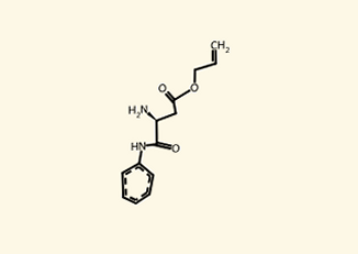 C=CCOC(=O)C[C@H](N)C(=O)Nc1ccccc1